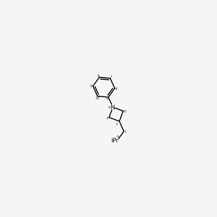 CC(C)CC1CN(c2ccccc2)C1